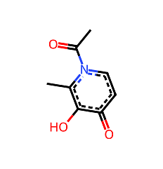 CC(=O)n1ccc(=O)c(O)c1C